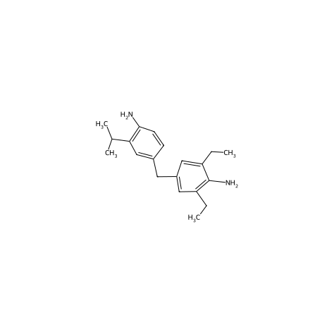 CCc1cc(Cc2ccc(N)c(C(C)C)c2)cc(CC)c1N